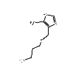 NCCCSCc1nc[nH]c1C(F)(F)F